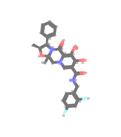 C[C@@H]1O[C@H]2CN3C=C(C(=O)NCc4ccc(F)cc4F)C(O)C(O)=C3C(=O)N2[C@@H]1c1ccccc1